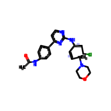 C=C(/C=C\C(=C/CCl)Nc1nccc(-c2ccc(NC(C)=O)cc2)n1)N1CCOCC1